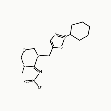 CN1COCN(CC2=CN=S(C3CCCCC3)S2)C1=N[N+](=O)[O-]